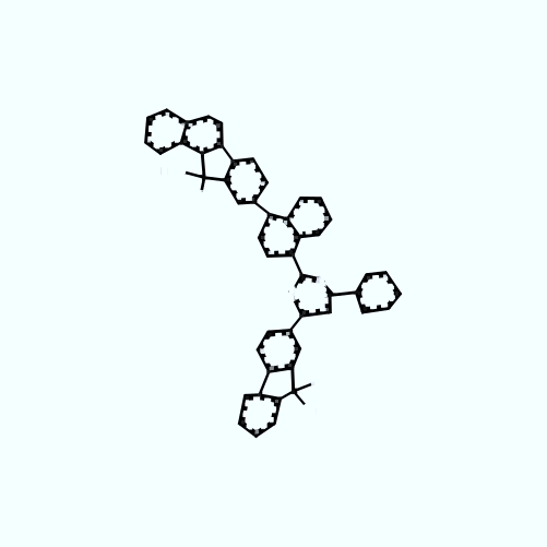 CC1(C)c2ccccc2-c2ccc(-c3cc(-c4ccccc4)nc(-c4ccc(-c5ccc6c(c5)C(C)(C)c5c-6ccc6ccccc56)c5ccccc45)n3)cc21